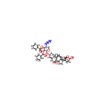 C[C@]12CC[C@H](OC3OC[C@H](N=[N+]=[N-])[C@@H](OC(=O)c4ccccc4)[C@@H]3OC(=O)c3ccccc3)C=C1CCC1C2CC[C@]2(C)[C@@H](c3ccc(=O)oc3)CC[C@]12O